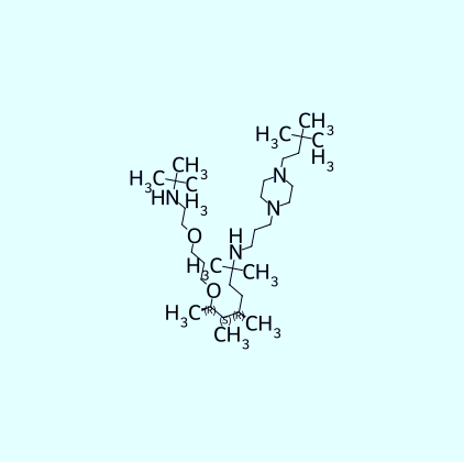 C[C@@H]([C@H](C)CCC(C)(C)NCCCN1CCN(CCC(C)(C)C)CC1)[C@@H](C)OCCCOCCNC(C)(C)C